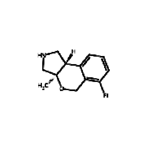 CCc1cccc2c1CO[C@@]1(C)CNC[C@H]21